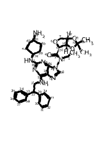 CCN(C(=O)[C@H]1OC[C@@H]2OC(C)(C)O[C@@H]21)n1cnc2c(NCC(c3ccccc3)c3ccccc3)nc(NC3CCC(N)CC3)nc21